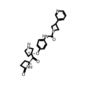 O=C1CC[C@@H](C(=O)[C@@]2(Oc3ccc(NC(=O)N4CC(c5cccnc5)C4)cc3)CCNC2)N1